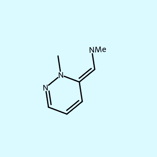 CN/C=C1/C=CC=NN1C